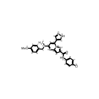 COc1ccc(CN(C)c2cc(-c3cn[nH]c3)n3nc(C(=O)Nc4ccc(Cl)cc4)cc3n2)cc1